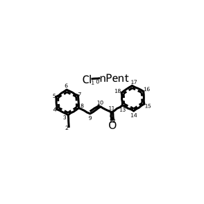 CCCCCCl.Cc1ccccc1C=CC(=O)c1ccccc1